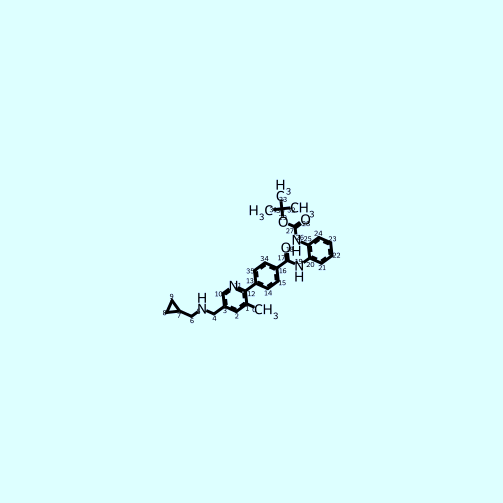 Cc1cc(CNCC2CC2)cnc1-c1ccc(C(=O)Nc2ccccc2NC(=O)OC(C)(C)C)cc1